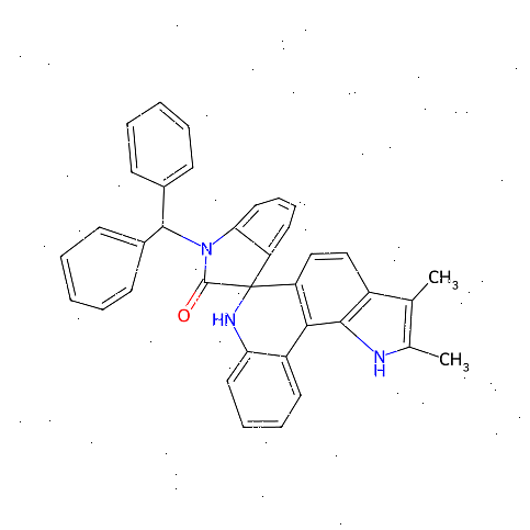 Cc1[nH]c2c3c(ccc2c1C)C1(Nc2ccccc2-3)C(=O)N(C(c2ccccc2)c2ccccc2)c2ccccc21